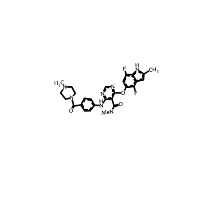 CNC(=O)c1c(Nc2ccc(C(=O)N3CCN(C)CC3)cc2)ncnc1Oc1cc(F)c2[nH]c(C)cc2c1F